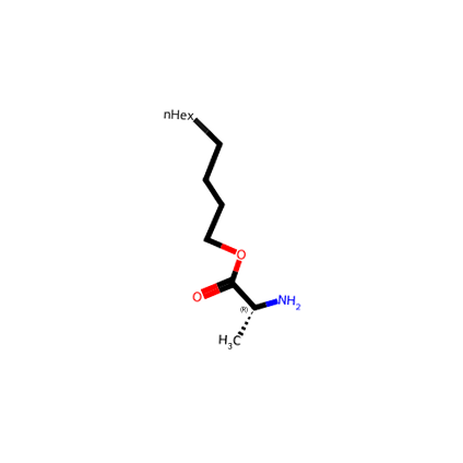 CCCCCCCCCCOC(=O)[C@@H](C)N